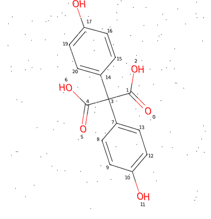 O=C(O)C(C(=O)O)(c1ccc(O)cc1)c1ccc(O)cc1